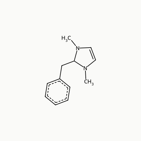 CN1C=CN(C)C1Cc1ccccc1